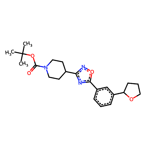 CC(C)(C)OC(=O)N1CCC(c2noc(-c3cccc(C4CCCO4)c3)n2)CC1